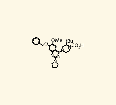 COc1cc2c(N3CCN(C(=O)O)C(C(C)(C)C)C3)nc(N3CCCC3)nc2cc1OCc1ccccc1